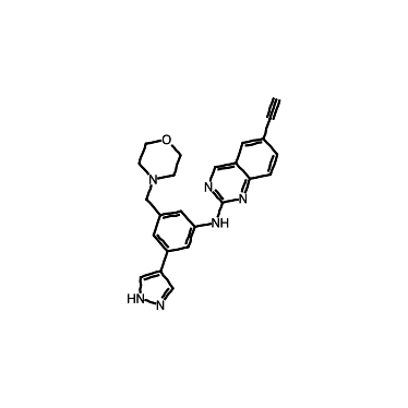 C#Cc1ccc2nc(Nc3cc(CN4CCOCC4)cc(-c4cn[nH]c4)c3)ncc2c1